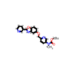 CN(C(=O)OC(C)(C)C)c1ccc(COc2ccc3oc(-c4cccnc4)nc3c2)nc1